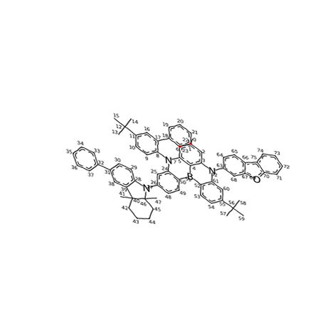 Cc1cc2c3c(c1)N(c1ccc(C(C)(C)C)cc1-c1ccccc1)c1cc(N4c5ccc(-c6ccccc6)cc5C5(C)CCCCC45C)ccc1B3c1ccc(C(C)(C)C)cc1N2c1ccc2c(c1)oc1ccccc12